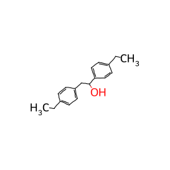 CCc1ccc(CC(O)c2ccc(CC)cc2)cc1